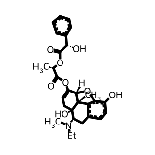 CCN(C)[C@@H]1Cc2ccc(O)c3c2[C@@]2(C)[C@@H](O3)C(OC(=O)[C@H](C)OC(=O)[C@@H](O)c3ccccc3)=CC[C@@]12O